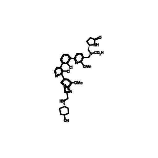 COc1nc(-c2cccc(-c3ccnc(-c4cc(OC)c5nc(CN[C@H]6CC[C@H](O)CC6)cn5c4)c3Cl)c2Cl)ccc1CN(C[C@@H]1CCC(=O)N1)C(=O)O